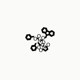 O=C(ON1C(=O)CCC1=O)[C@H](Cc1ccccc1)N(C(=O)OCc1ccccc1)C(=O)OCC1c2ccccc2-c2ccccc21